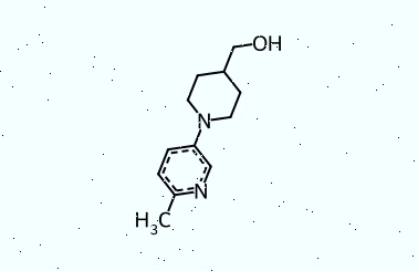 Cc1ccc(N2CCC(CO)CC2)cn1